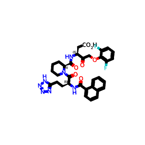 O=C(O)C[C@H](NC(=O)[C@@H]1CCCCN1C(=O)[C@H](CCc1nnn[nH]1)NC(=O)c1cccc2ccccc12)C(=O)COc1c(F)cccc1F